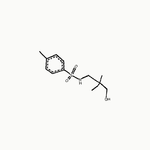 Cc1ccc(S(=O)(=O)NCC(C)(C)CO)cc1